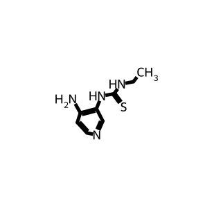 CCNC(=S)Nc1cnccc1N